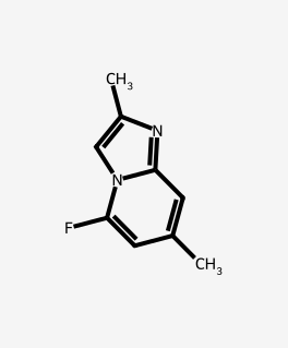 Cc1cc(F)n2cc(C)nc2c1